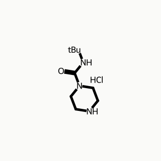 CC(C)(C)NC(=O)N1CCNCC1.Cl